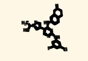 CC(O)n1cc(-c2cnc(Nc3cc(F)cc(Cl)c3)nc2Nc2ccc3c(c2)CNCC3)cn1